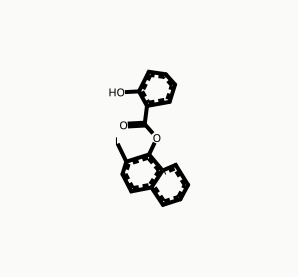 O=C(Oc1c(I)ccc2ccccc12)c1ccccc1O